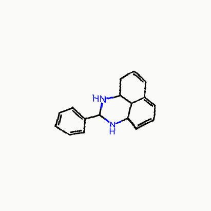 C1=CC2NC(c3ccccc3)NC3CC=CC(=C1)C23